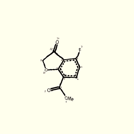 COC(=O)c1ccc(F)c2c1OCC2=O